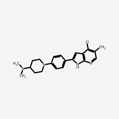 Cc1cnc2[nH]c(-c3ccc(N4CCC(N(C)C)CC4)cc3)cc2c1Cl